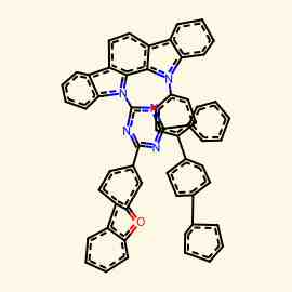 c1ccc(-c2ccc(-c3ccc(-n4c5ccccc5c5ccc6c7ccccc7n(-c7nc(-c8ccccc8)nc(-c8ccc9c(c8)oc8ccccc89)n7)c6c54)cc3)cc2)cc1